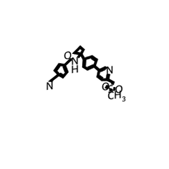 CS(=O)(=O)Cc1ccc(-c2ccc(C3(NC(=O)c4ccc(C#N)cc4)CCC3)cc2)cn1